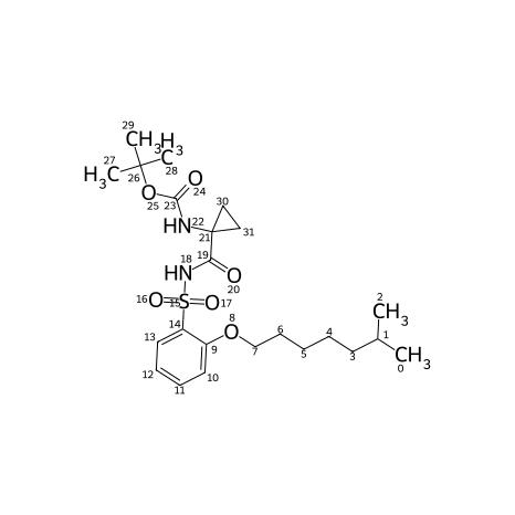 CC(C)CCCCCOc1ccccc1S(=O)(=O)NC(=O)C1(NC(=O)OC(C)(C)C)CC1